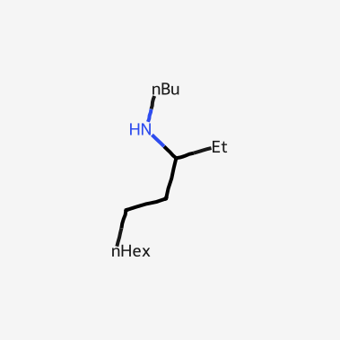 CCCCCCCCC(CC)NCCCC